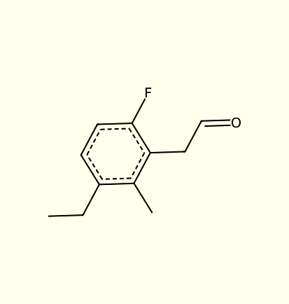 CCc1ccc(F)c(CC=O)c1C